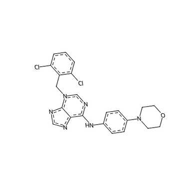 Clc1cccc(Cl)c1Cn1cnc(Nc2ccc(N3CCOCC3)cc2)c2ncnc1-2